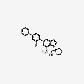 Nc1cc(-c2ccc(-c3ccccc3)cc2F)cc2ccn(C3(CO)CCCC3)c12